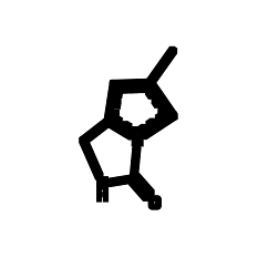 Cc1cc2n(c1)C(=O)NC2